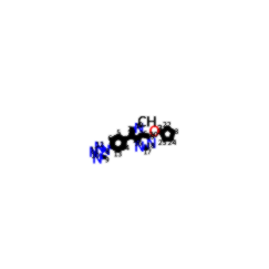 Cn1cc(-c2ccc(-n3cnnn3)cc2)c2ncnc(OC3CCCC3)c21